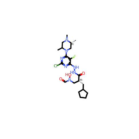 CC1CN(C)[C@H](C)CN1c1nc(Cl)nc(NNC(=O)[C@H](CC2CCCC2)CN(O)C=O)c1F